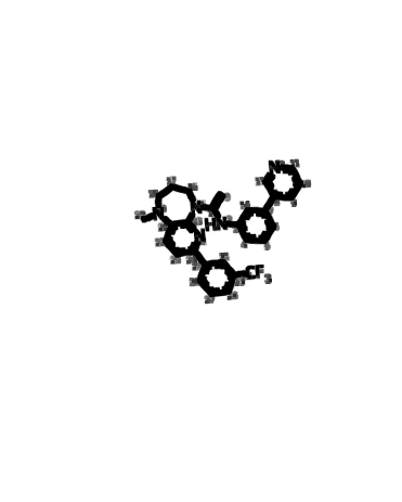 C=C(Nc1cccc(-c2cccnc2)c1)N1CCCN(C)c2ccc(-c3cccc(C(F)(F)F)c3)nc21